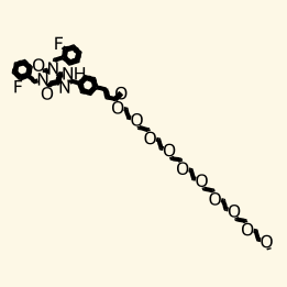 COCCOCCOCCOCCOCCOCCOCCOCCOCCOC(=O)/C=C/c1ccc(-c2nc3c(=O)n(Cc4ccccc4F)c(=O)n(Cc4ccccc4F)c3[nH]2)cc1